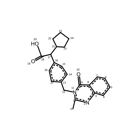 Cc1nc2ccccc2c(=O)n1Cc1ccc(C(C(=O)O)C2CCCC2)cc1